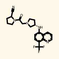 N#CC1CCCN1C(=O)CN1CC[C@H](Nc2ccc(C(F)(F)F)c3ncccc23)C1